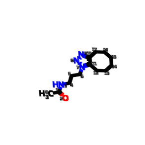 CC(=O)NCCCn1nnc2c1CCCCCC2